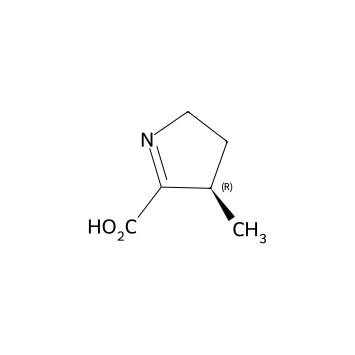 C[C@@H]1CCN=C1C(=O)O